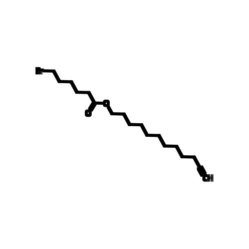 C#CCCCCCCCCCCOC(=O)CCCCCBr